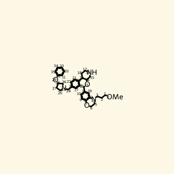 COCCCN1CCOc2ccc(COC3CNCCC3c3ccc(CN4CCC(Oc5ccccc5)C4)cc3)cc21